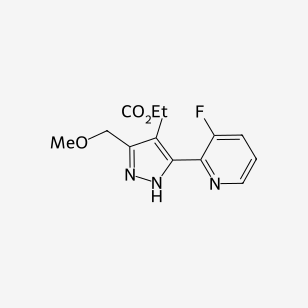 CCOC(=O)c1c(COC)n[nH]c1-c1ncccc1F